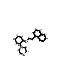 c1ccc2c(CCOC3CCCCC3N3CCOCC3)cccc2c1